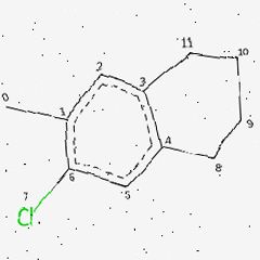 Cc1cc2c(cc1Cl)CCCC2